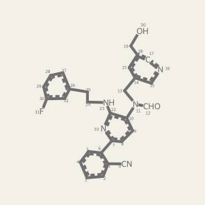 N#Cc1ccccc1-c1ccc(N(C=O)Cc2cncc(CO)c2)c(NCCc2cccc(F)c2)n1